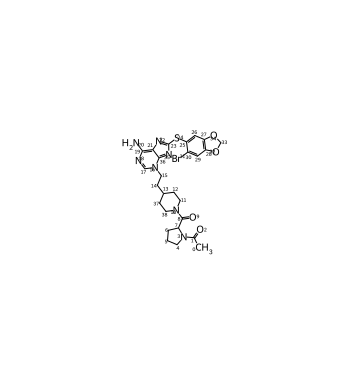 CC(=O)N1CCCC1C(=O)N1CCC(CCn2cnc(N)c3nc(Sc4cc5c(cc4Br)OCO5)nc2-3)CC1